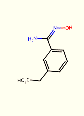 N/C(=N/O)c1cccc(CC(=O)O)c1